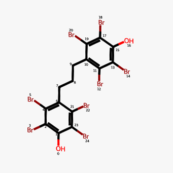 Oc1c(Br)c(Br)c(CCCc2c(Br)c(Br)c(O)c(Br)c2Br)c(Br)c1Br